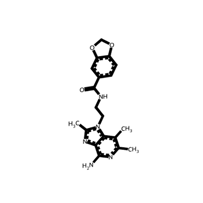 Cc1nc(N)c2nc(C)n(CCNC(=O)c3ccc4c(c3)OCO4)c2c1C